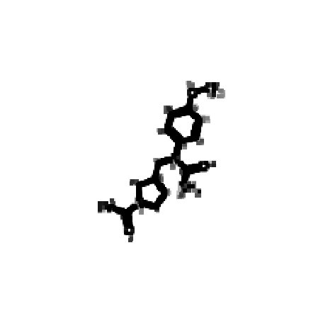 CC(C)C(=O)N1CCC(CN(C(N)=O)c2ccc(OC(F)(F)F)cc2)C1